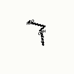 C=C(CCCCCCCCC(=O)NC(C)C)CCC(C)NC(=O)CCOCCOCCC